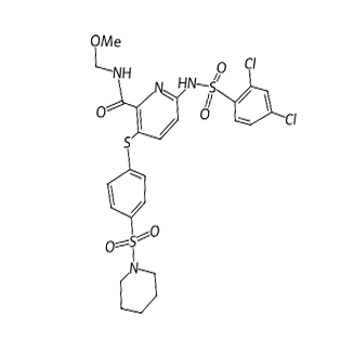 COCNC(=O)c1nc(NS(=O)(=O)c2ccc(Cl)cc2Cl)ccc1Sc1ccc(S(=O)(=O)N2CCCCC2)cc1